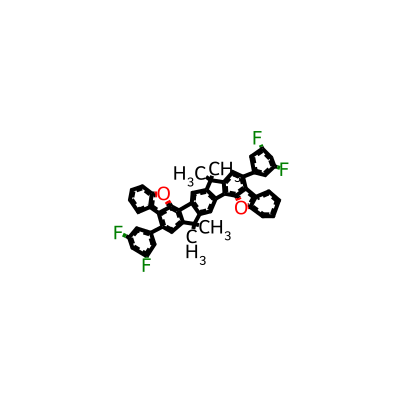 CC1(C)c2cc3c(cc2-c2c1cc(-c1cc(F)cc(F)c1)c1c2oc2ccccc21)C(C)(C)c1cc(-c2cc(F)cc(F)c2)c2c(oc4ccccc42)c1-3